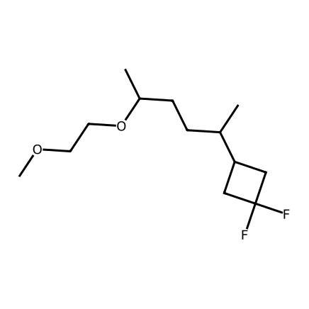 COCCOC(C)CCC(C)C1CC(F)(F)C1